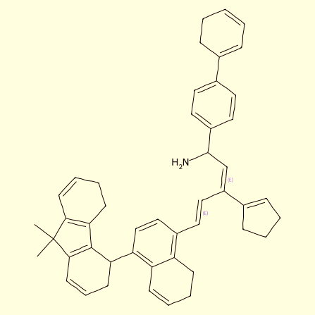 CC1(C)C2=C(CCC=C2)C2=C1C=CCC2c1ccc(/C=C/C(=C\C(N)c2ccc(C3=CC=CCC3)cc2)C2=CCCC2)c2c1C=CCC2